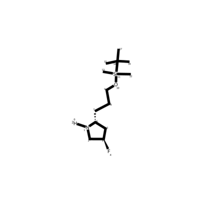 [2H]N1C[C@H](F)C[C@H]1CCCO[Si](C)(C)C(C)(C)C